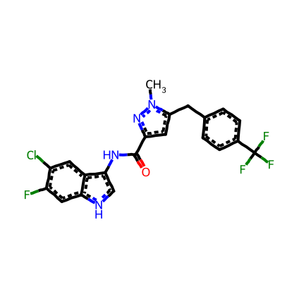 Cn1nc(C(=O)Nc2c[nH]c3cc(F)c(Cl)cc23)cc1Cc1ccc(C(F)(F)F)cc1